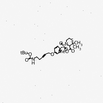 COC(=O)C1N(S(=O)(=O)c2ccc(OCC#CCCNC(=O)OC(C)(C)C)cc2)CCSC1(C)C